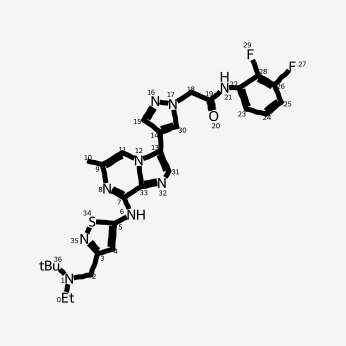 CCN(Cc1cc(Nc2nc(C)cn3c(-c4cnn(CC(=O)Nc5cccc(F)c5F)c4)cnc23)sn1)C(C)(C)C